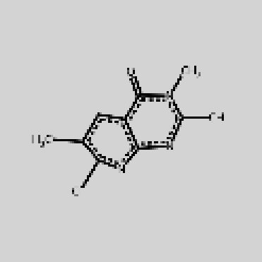 Cc1cc2c(=O)n(C)c(C)nc2nc1Cl